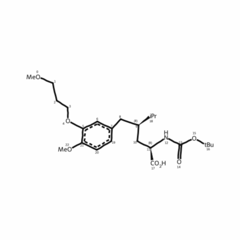 COCCCOc1cc(C[C@H](C[C@@H](NC(=O)OC(C)(C)C)C(=O)O)C(C)C)ccc1OC